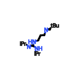 [CH2]C(C)(C)/C=N/CCCN/C(=N\C(C)C)NC(C)C